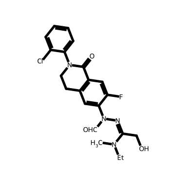 CCN(C)/C(CO)=N\N(C=O)c1cc2c(cc1F)C(=O)N(c1ccccc1Cl)CC2